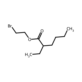 CCCCC(CC)C(=O)OCCBr